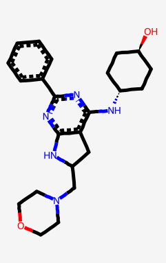 O[C@H]1CC[C@H](Nc2nc(-c3ccccc3)nc3c2CC(CN2CCOCC2)N3)CC1